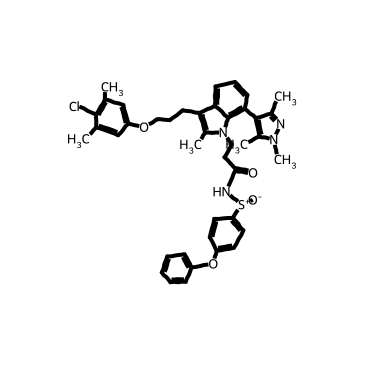 Cc1cc(OCCCc2c(C)n(CCC(=O)N[S+]([O-])c3ccc(Oc4ccccc4)cc3)c3c(-c4c(C)nn(C)c4C)cccc23)cc(C)c1Cl